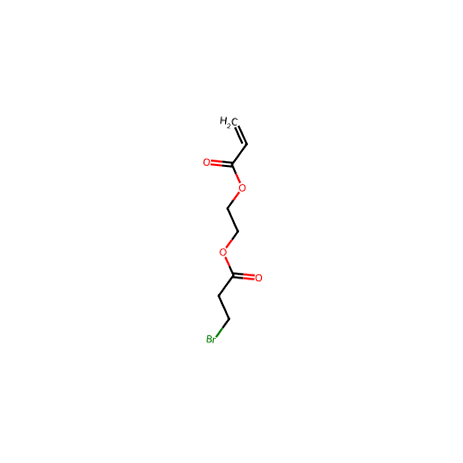 C=CC(=O)OCCOC(=O)CCBr